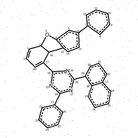 C1=CC2Oc3cc(-c4ccccc4)ccc3C2C(c2nc(-c3ccccc3)nc(-c3cccc4ccccc34)n2)=C1